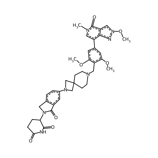 COc1cc(-c2cn(C)c(=O)c3cn(OC)nc23)cc(OC)c1CN1CCC2(CC1)CN(c1ccc3c(c1)C(=O)N(C1CCC(=O)NC1=O)C3)C2